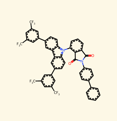 O=C1c2cccc(-n3c4ccc(-c5cc(C(F)(F)F)cc(C(F)(F)F)c5)cc4c4cc(-c5cc(C(F)(F)F)cc(C(F)(F)F)c5)ccc43)c2C(=O)N1c1ccc(-c2ccccc2)cc1